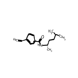 C#Cc1ccc(C(=O)N[C@@H](C)CCC(C)C)cc1